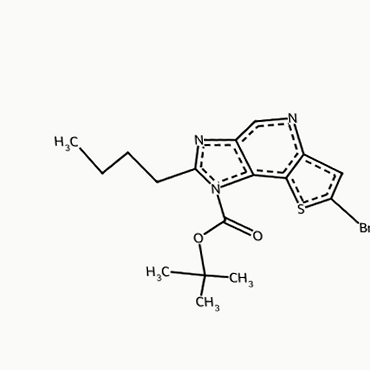 CCCCc1nc2cnc3cc(Br)sc3c2n1C(=O)OC(C)(C)C